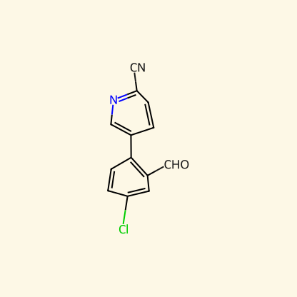 N#Cc1ccc(-c2ccc(Cl)cc2C=O)cn1